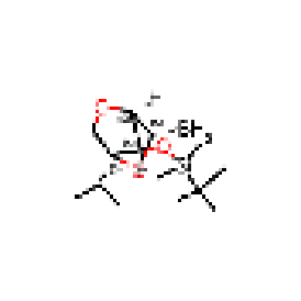 B[C@@H]1O[C@@]2(C(C)C)CO[C@@H]1[C@@H]2O[Si](C)(C)C(C)(C)C